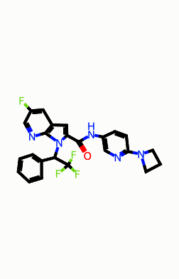 O=C(Nc1ccc(N2CCC2)nc1)c1cc2cc(F)cnc2n1C(c1ccccc1)C(F)(F)F